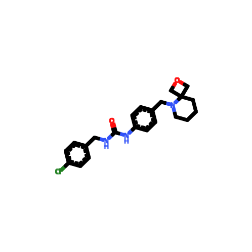 O=C(NCc1ccc(Cl)cc1)Nc1ccc(CN2CCCCC23COC3)cc1